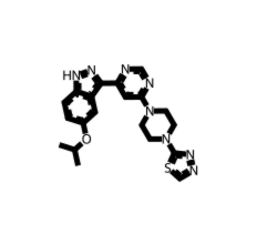 CC(C)Oc1ccc2[nH]nc(-c3cc(N4CCN(c5nncs5)CC4)ncn3)c2c1